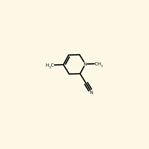 CC1=CCN(C)C(C#N)C1